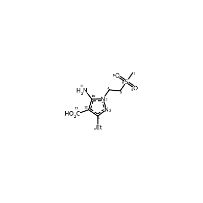 CCc1nn(CCS(C)(=O)=O)c(N)c1C(=O)O